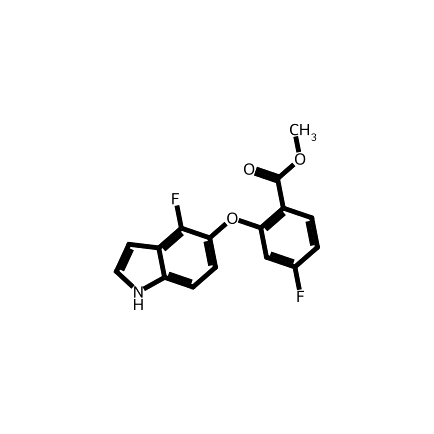 COC(=O)c1ccc(F)cc1Oc1ccc2[nH]ccc2c1F